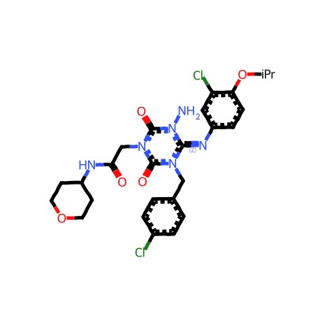 CC(C)Oc1ccc(/N=c2\n(N)c(=O)n(CC(=O)NC3CCOCC3)c(=O)n2Cc2ccc(Cl)cc2)cc1Cl